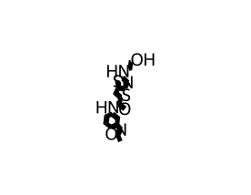 Cc1nc2cc(NC(=O)c3cc4sc(NCCO)nc4s3)ccc2o1